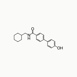 O=C(NCC1CCCCC1)c1ccc(-c2ccc(O)cc2)cc1